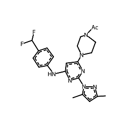 CC(=O)N1CCN(c2cc(Nc3ccc(C(F)F)cc3)nc(-n3nc(C)cc3C)n2)CC1